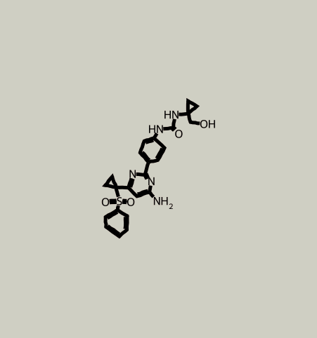 Nc1cc(C2(S(=O)(=O)c3ccccc3)CC2)nc(-c2ccc(NC(=O)NC3(CO)CC3)cc2)n1